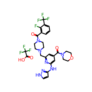 O=C(O)C(F)(F)F.O=C(c1cc(CN2CCN(C(=O)c3cccc(C(F)(F)F)c3F)CC2)nc(Nc2cc[nH]n2)c1)N1CCOCC1